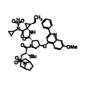 C=C[C@@H]1C[C@]1(NC(=O)[C@@H]1C[C@@H](Oc2cc(-c3ccccc3)nc3cc(OC)ccc23)CN1C(=O)[C@@H](CC(=O)N1C2CCC1CC(=O)C2)C(C)(C)C)C(=O)N(C1CC1)[SH](=O)=O